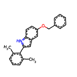 Cc1cccc(C)c1-c1cc2cc(OCc3ccccc3)ccc2[nH]1